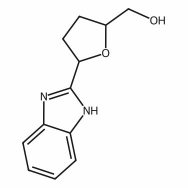 OCC1CCC(c2nc3ccccc3[nH]2)O1